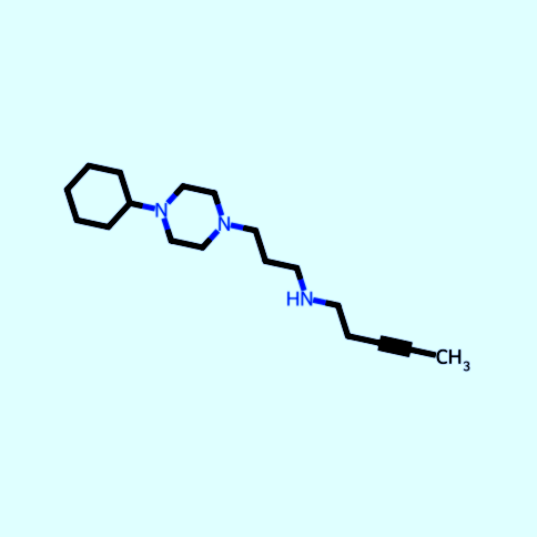 CC#CCCNCCCN1CCN(C2CCCCC2)CC1